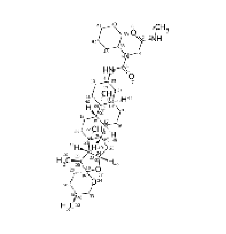 CNC(=O)CN(C(=O)N[C@@H]1CC[C@@]2(C)[C@H](CC[C@@H]3[C@@H]2CC[C@]2(C)[C@@H]4[C@H](C[C@@H]32)O[C@]2(CC[C@H](C)CO2)[C@H]4C)C1)C1CCCCC1